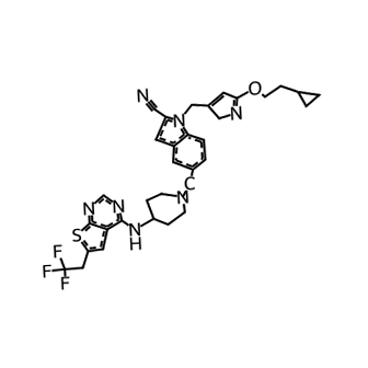 N#Cc1cc2cc(CN3CCC(Nc4ncnc5sc(CC(F)(F)F)cc45)CC3)ccc2n1CC1=CC(OCCC2CC2)=NC1